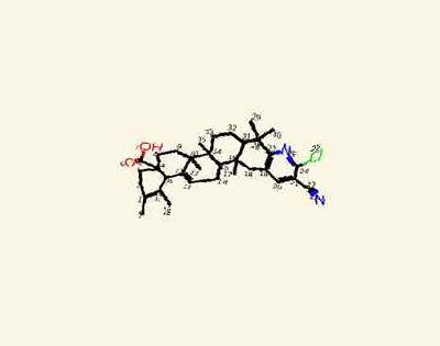 CC1CCC2(C(=O)O)CCC3(C)C(=CCC4C5(C)Cc6cc(C#N)c(Cl)nc6C(C)(C)C5CCC43C)C2C1C